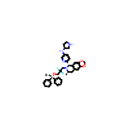 C[C@@H]1Cc2cc3c(cc2[C@@H](c2ccc(NC4CCNC4)cn2)N1CC(F)(F)CO[Si](c1ccccc1)(c1ccccc1)C(C)(C)C)OCO3